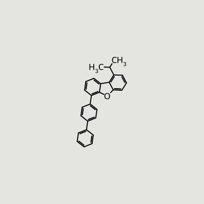 CC(C)c1cccc2oc3c(-c4ccc(-c5ccccc5)cc4)cccc3c12